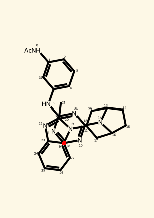 CC(=O)Nc1cccc(Nc2ncnc(N3C4CCC3CC(n3c(C)nc5ccccc53)C4)n2)c1